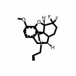 C=CCN1CCC23c4c5ccc(OC)c4O[C@@H]2C(F)(F)CCC3[C@@H]1C5